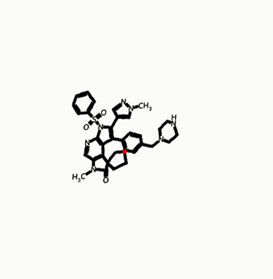 CN1C(=O)C2(CCCC2)c2c1cnc1c2c(-c2ccc(CN3CCNCC3)cc2)c(-c2cnn(C)c2)n1S(=O)(=O)c1ccccc1